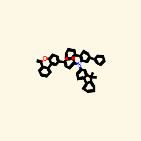 C=C1Oc2ccc(-c3ccc(N(c4ccc5c(c4)C(C)(C)c4ccccc4-5)c4cc(-c5ccccc5)ccc4-c4ccccc4)cc3)cc2-c2ccccc21